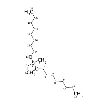 C=C[Si](C)(OCCCCCCCC)OCCCCCCCC